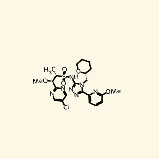 COc1cccc(-c2nnc(NS(=O)(=O)[C@@H](C)[C@H](OC)c3ncc(Cl)cn3)n2C[C@H]2CCCCO2)n1